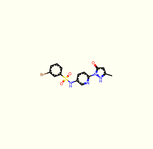 Cc1cc(=O)n(-c2ccc(NS(=O)(=O)c3cccc(Br)c3)cn2)[nH]1